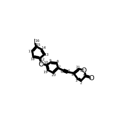 O=c1ccc(C#Cc2ccc(Oc3ccc(I)cc3)cc2)co1